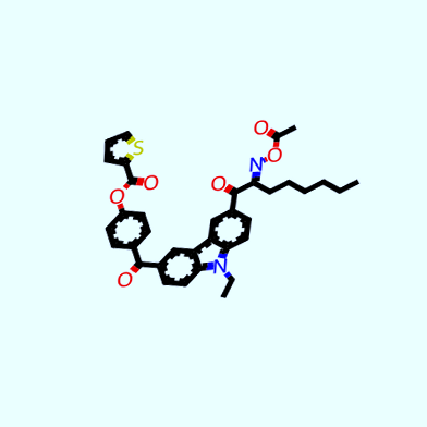 CCCCCC/C(=N\OC(C)=O)C(=O)c1ccc2c(c1)c1cc(C(=O)c3ccc(OC(=O)c4cccs4)cc3)ccc1n2CC